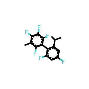 Cc1c(F)c(F)c(F)c(-c2c(F)cc(F)cc2C(C)C)c1F